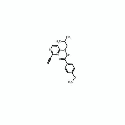 COc1ccc(C(=O)NN(CC(C)C)c2ccnc(C#N)n2)cc1